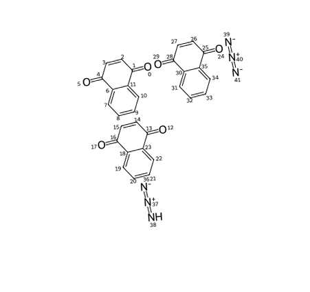 O=C1C=CC(=O)c2ccccc21.O=C1C=CC(=O)c2ccccc21.O=C1C=CC(=O)c2ccccc21.[N-]=[N+]=N.[N-]=[N+]=[N-]